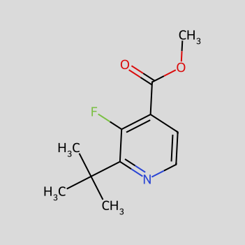 COC(=O)c1ccnc(C(C)(C)C)c1F